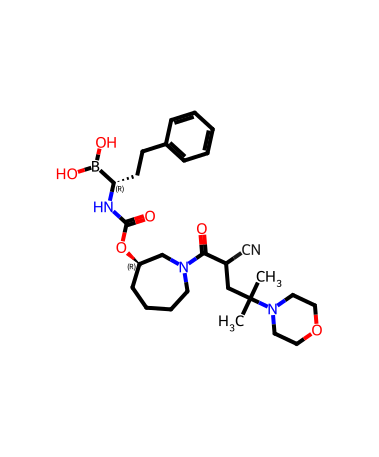 CC(C)(CC(C#N)C(=O)N1CCCC[C@@H](OC(=O)N[C@@H](CCc2ccccc2)B(O)O)C1)N1CCOCC1